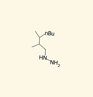 CCCCC(C)C(C)CNN